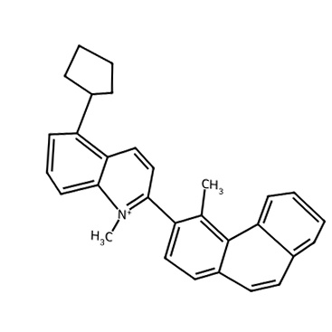 Cc1c(-c2ccc3c(C4CCCC4)cccc3[n+]2C)ccc2ccc3ccccc3c12